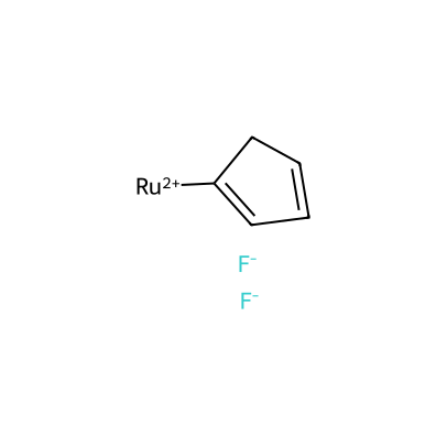 [F-].[F-].[Ru+2][C]1=CC=CC1